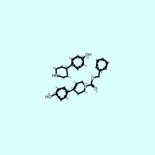 O=C(OCc1ccccc1)N1CC=C(c2ccc(O)cc2)CC1.Oc1ccc(C2CCNCC2)cc1